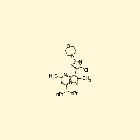 CCCC(CCC)c1cc(C)nc2c(-c3sc(N4CCOCC4)nc3Cl)c(C)nn12